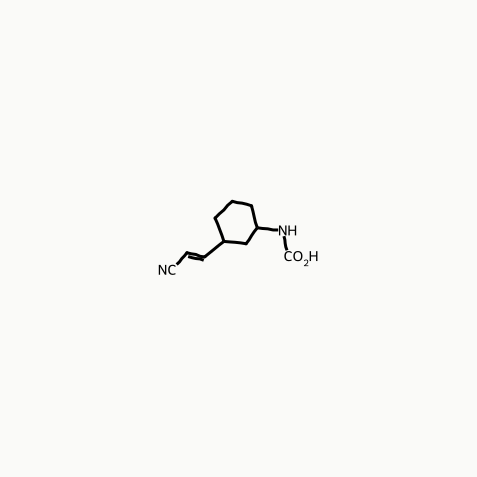 N#CC=CC1CCCC(NC(=O)O)C1